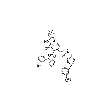 CC(C)(C)OC(=O)N[C@@H]1C(=O)N2C(C(=O)OC(c3ccccc3)c3ccccc3)=C(/C=C3\CCN(Cc4cc[n+](Cc5cccc(O)c5)cc4)C3=O)CS[C@H]12.[Br-]